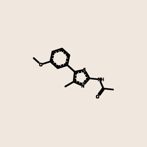 COc1cccc(-c2sc(NC(C)=O)nc2C)c1